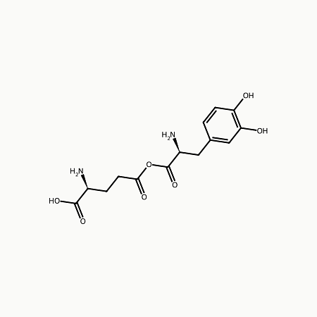 N[C@@H](CCC(=O)OC(=O)[C@@H](N)Cc1ccc(O)c(O)c1)C(=O)O